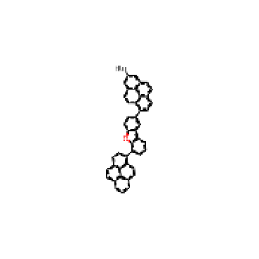 CC(C)(C)c1cc2ccc3ccc(-c4ccc5oc6c(-c7ccc8ccc9cccc%10ccc7c8c9%10)cccc6c5c4)c4ccc(c1)c2c34